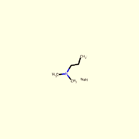 [CH2]CCN(C)C.[NaH]